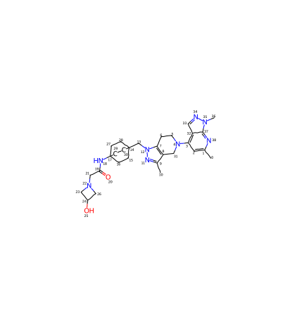 Cc1cc(N2CCc3c(c(C)nn3CC34CCC(NC(=O)CN5CC(O)C5)(CC3)CC4)C2)c2cnn(C)c2n1